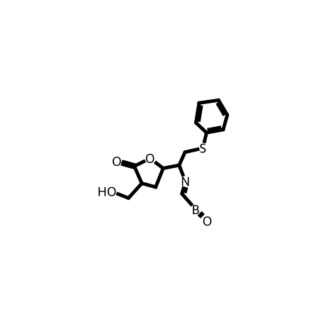 O=B/C=N/C(CSc1ccccc1)C1CC(CO)C(=O)O1